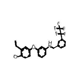 CCc1cc(Oc2cccc(NCc3cccc(C(F)(F)C(F)(F)F)c3)c2)ccc1Cl